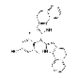 Cc1cc(O)cc(C)c1C(c1cc2c([nH]1)-c1ccccc1CC2)c1cc2c([nH]1)-c1ccccc1CC2